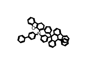 C1=C(N(c2ccc(-c3ccccc3)cc2)c2cccc(C3(c4ccccc4)c4ccccc4C4(c5ccccc5)c5ccccc5-c5cccc3c54)c2)c2oc3ccccc3c2CC1